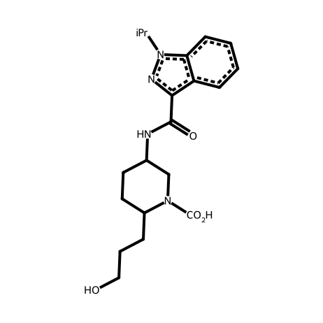 CC(C)n1nc(C(=O)NC2CCC(CCCO)N(C(=O)O)C2)c2ccccc21